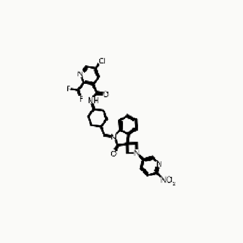 O=C(NC1CCC(CN2C(=O)C3(CN(c4ccc([N+](=O)[O-])nc4)C3)c3ccccc32)CC1)c1cc(Cl)cnc1C(F)F